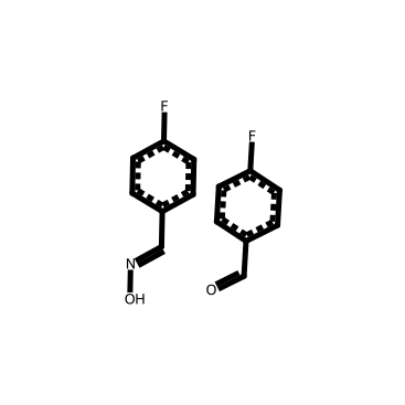 O=Cc1ccc(F)cc1.ON=Cc1ccc(F)cc1